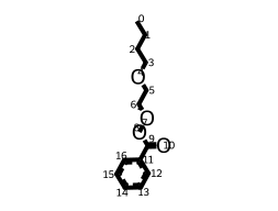 CCCCOC[CH]OOC(=O)c1ccccc1